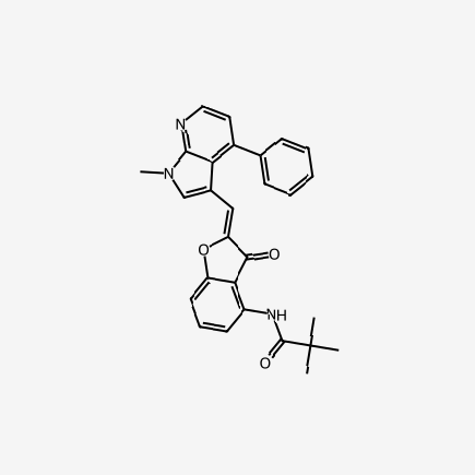 Cn1cc(C=C2Oc3cccc(NC(=O)C(C)(C)C)c3C2=O)c2c(-c3ccccc3)ccnc21